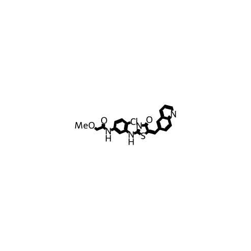 COCC(=O)Nc1ccc(Cl)c(NC2=NC(=O)C(=Cc3ccc4ncccc4c3)S2)c1